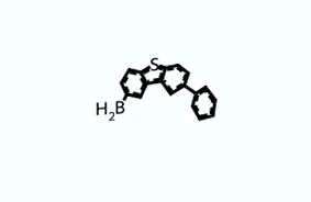 Bc1ccc2sc3ccc(-c4ccccc4)cc3c2c1